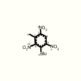 Cc1c([N+](=O)[O-])cc([N+](=O)[O-])c(C(C)(C)C)c1[N+](=O)[O-]